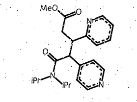 COC(=O)CC(c1ccccn1)C(C(=O)N(C(C)C)C(C)C)c1ccncc1